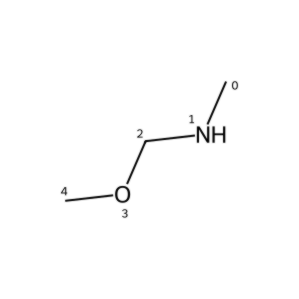 CNCOC